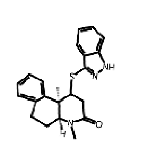 CN1C(=O)CC(Sc2n[nH]c3ccccc23)[C@]2(C)c3ccccc3CC[C@@H]12